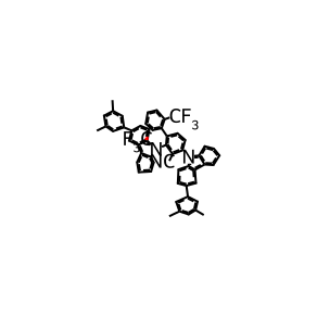 Cc1cc(C)cc(-c2ccc3c(c2)c2ccccc2n3-c2ccc(-c3c(C(F)(F)F)cccc3C(F)(F)F)c(-n3c4ccccc4c4cc(-c5cc(C)cc(C)c5)ccc43)c2C#N)c1